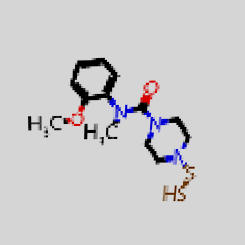 COc1ccccc1N(C)C(=O)N1CCN(SS)CC1